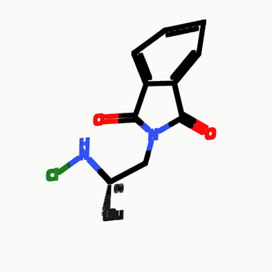 CC(C)(C)[C@@H](CN1C(=O)c2ccccc2C1=O)NCl